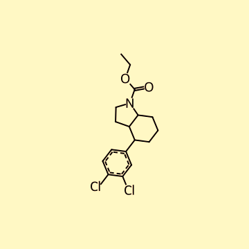 CCOC(=O)N1CCC2C(c3ccc(Cl)c(Cl)c3)CCCC21